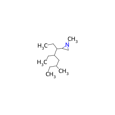 CCC(C)CC(CC)C(CC)C1CN1C